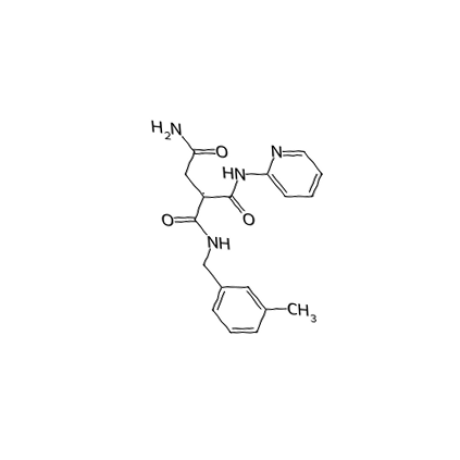 Cc1cccc(CNC(=O)[C](CC(N)=O)C(=O)Nc2ccccn2)c1